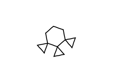 C1CC2(CC2)C2(CC2)C2(C1)CC2